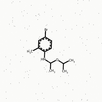 Cc1cc(Br)ccc1NC(C)OC(C)C